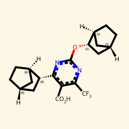 O=C(O)c1c([C@@H]2C[C@@H]3CC[C@@H]2C3)nc(O[C@H]2C[C@H]3CC[C@H]2C3)nc1C(F)(F)F